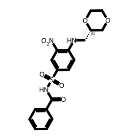 O=C(NS(=O)(=O)c1ccc(NC[C@H]2COCCO2)c([N+](=O)[O-])c1)c1ccccc1